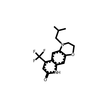 CC(C)CN1CCOc2cc3[nH]c(=O)cc(C(F)(F)F)c3cc21